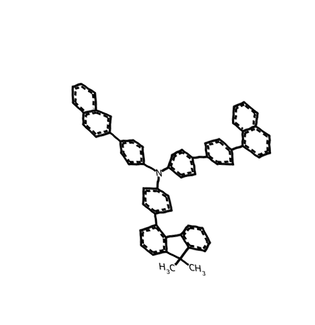 CC1(C)c2ccccc2-c2c(-c3ccc(N(c4ccc(-c5ccc(-c6cccc7ccccc67)cc5)cc4)c4ccc(-c5ccc6ccccc6c5)cc4)cc3)cccc21